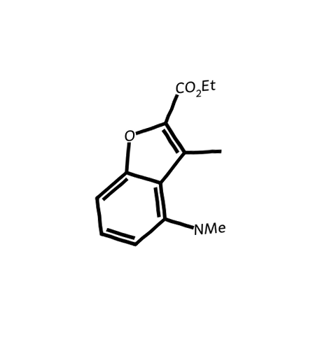 CCOC(=O)c1oc2cccc(NC)c2c1C